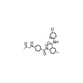 CC(=O)CNc1ccc(C(=O)Nc2ccc(C)cc2C(=O)Nc2ccc(Cl)cn2)cc1